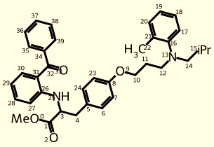 COC(=O)C(Cc1ccc(OCCCN(CC(C)C)c2ccccc2C)cc1)Nc1ccccc1C(=O)c1ccccc1